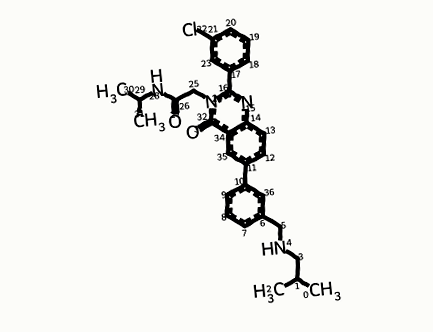 CC(C)CNCc1cccc(-c2ccc3nc(-c4cccc(Cl)c4)n(CC(=O)NC(C)C)c(=O)c3c2)c1